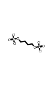 O=P(Cl)(Cl)OCCCCOP(=O)(Cl)Cl